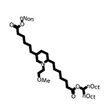 CCCCCCCCCOC(=O)CCCCCC1CCC(CCCCCCC(=O)OC(CCCCCCCC)CCCCCCCC)N(CCOC)C1